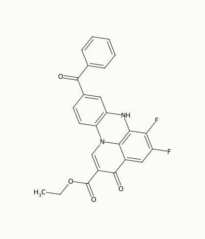 CCOC(=O)c1cn2c3c(c(F)c(F)cc3c1=O)Nc1cc(C(=O)c3ccccc3)ccc1-2